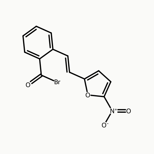 O=C(Br)c1ccccc1C=Cc1ccc([N+](=O)[O-])o1